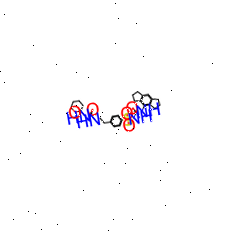 O=C(NCCc1ccc(S(=O)(=O)NC(=O)Nc2c3c(cc4c2CCC4)CCC3)cc1)NC1CCCCO1